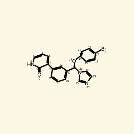 O=c1[nH]cccc1-c1cccc(C(Oc2ccc(Br)cc2)n2ccnc2)c1